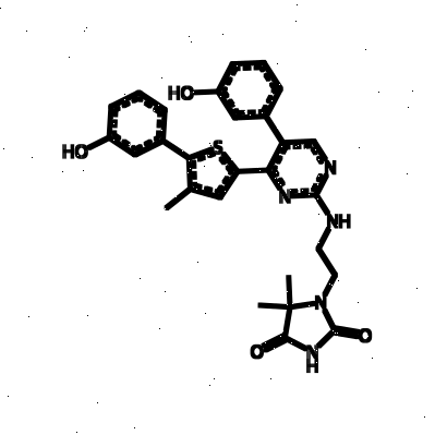 Cc1cc(-c2nc(NCCN3C(=O)NC(=O)C3(C)C)ncc2-c2cccc(O)c2)sc1-c1cccc(O)c1